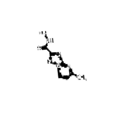 Cc1c[c]n2nc(C(=O)NO)nc2n1